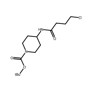 CC(C)(C)OC(=O)N1CCC(NC(=O)CCCCl)CC1